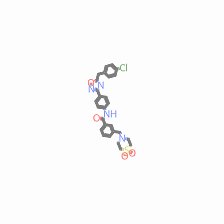 O=C(Nc1ccc(-c2noc(Cc3ccc(Cl)cc3)n2)cc1)c1cccc(CN2CCS(=O)(=O)CC2)c1